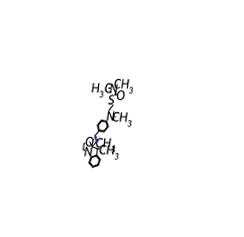 CN(C)C(=O)SCCN(C)c1ccc(/C=C/C23OCCN2c2ccccc2C3(C)C)cc1